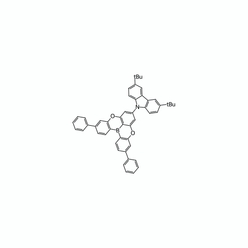 CC(C)(C)c1ccc2c(c1)c1cc(C(C)(C)C)ccc1n2-c1cc2c3c(c1)Oc1cc(-c4ccccc4)ccc1B3c1ccc(-c3ccccc3)cc1O2